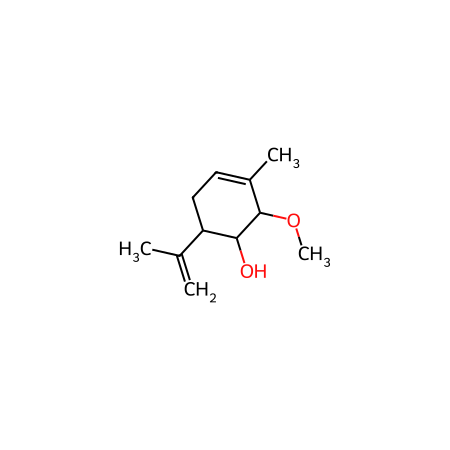 C=C(C)C1CC=C(C)C(OC)C1O